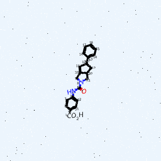 O=C(O)c1ccc(NC(=O)N2CC3CC(c4ccccc4)CC3C2)cc1